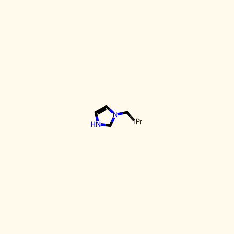 CC(C)CN1C=CNC1